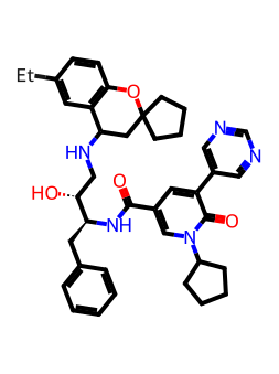 CCc1ccc2c(c1)C(NC[C@@H](O)[C@H](Cc1ccccc1)NC(=O)c1cc(-c3cncnc3)c(=O)n(C3CCCC3)c1)CC1(CCCC1)O2